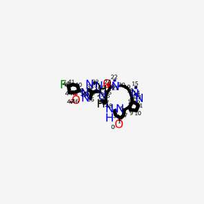 COc1cc2nc(c1)-c1cccc3nn(C)c(c13)CCCN(C)C(=O)[C@@H]1C[C@@H](CN1c1ncnc3c1cnn3-c1ccc(F)cc1OC)N2